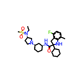 CCN([C@H]1CCN([C@H]2CCC[C@@H](NC(=O)C3(C4CCCCC4)Cc4c(F)ccc(C)c4N3)C2)C1)S(C)(=O)=O